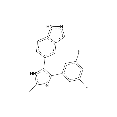 Cc1nc(-c2cc(F)cc(F)c2)c(-c2ccc3[nH]ncc3c2)[nH]1